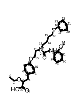 CCOC(Cc1ccc(OCCN(CCCCSc2ccccc2)C(=O)Nc2ccccc2OC)cc1)C(=O)O